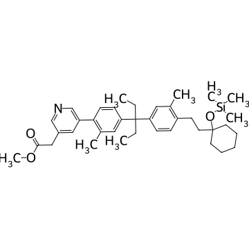 CCC(CC)(c1ccc(CCC2(O[Si](C)(C)C)CCCCC2)c(C)c1)c1ccc(-c2cncc(CC(=O)OC)c2)c(C)c1